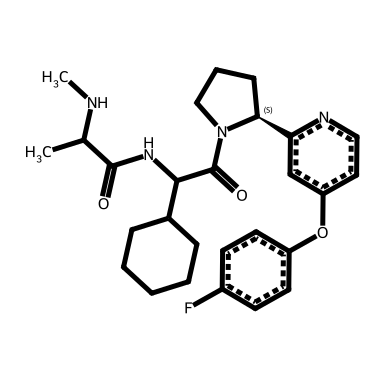 CNC(C)C(=O)NC(C(=O)N1CCC[C@H]1c1cc(Oc2ccc(F)cc2)ccn1)C1CCCCC1